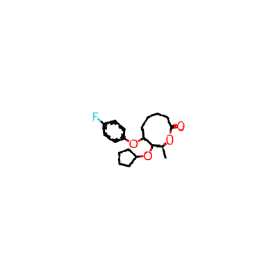 CC1OC(=O)CCCCC(Oc2ccc(F)cc2)C1OC1CCCC1